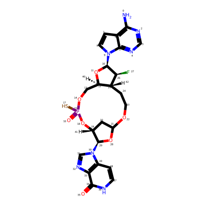 Nc1ncnc2c1ccn2[C@@H]1O[C@@H]2COP(=O)(S)O[C@@H]3CC(OCC[C@H]2[C@@H]1F)O[C@H]3n1cnc2c(=O)[nH]ccc21